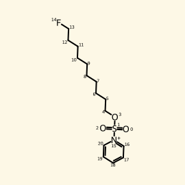 O=S(=O)(OCCCCCCCCCCF)[n+]1ccccc1